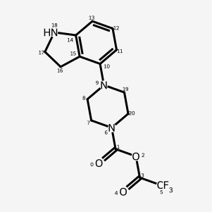 O=C(OC(=O)C(F)(F)F)N1CCN(c2cccc3c2CCN3)CC1